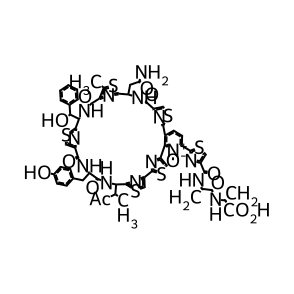 C=C(NC(=O)C(=C)NC(=O)c1csc(-c2ccc3c([n+]2[O-])-c2csc(n2)-c2csc(n2)C(C(C)C(C)=O)NC(=O)C(Cc2ccc(O)cc2)NC(=O)c2csc(n2)C(C(O)c2ccccc2)NC(=O)c2nc(sc2C)C(CC(N)=O)NC(=O)c2csc-3n2)n1)C(=O)O